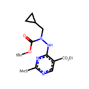 CCOC(=O)c1cnc(SC)nc1NN(CC1CC1)C(=O)OC(C)(C)C